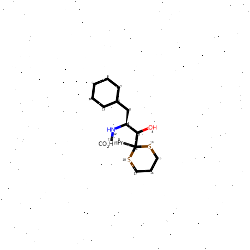 CCCC1(C(O)[C@H](CC2CCCCC2)NC(=O)O)SCCCS1